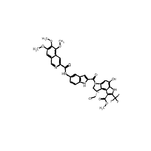 COC(=O)c1c(C(F)(F)F)[nH]c2c(O)cc3c(c12)[C@H](CCl)CN3C(=O)c1cc2cc(NC(=O)c3cc4c(OC)c(OC)c(OC)cc4cn3)ccc2[nH]1